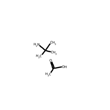 CC(=O)O.CC(C)(C)N